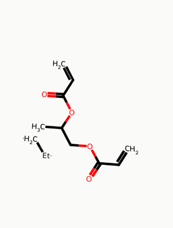 C=CC(=O)OCC(C)OC(=O)C=C.[CH2][CH]C